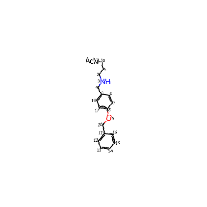 CC(=O)NCCNCc1ccc(OCc2ccccc2)cc1